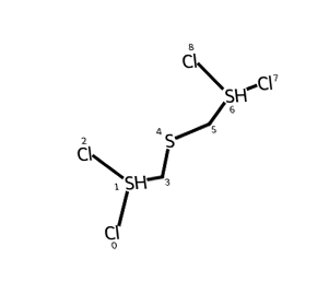 Cl[SH](Cl)CSC[SH](Cl)Cl